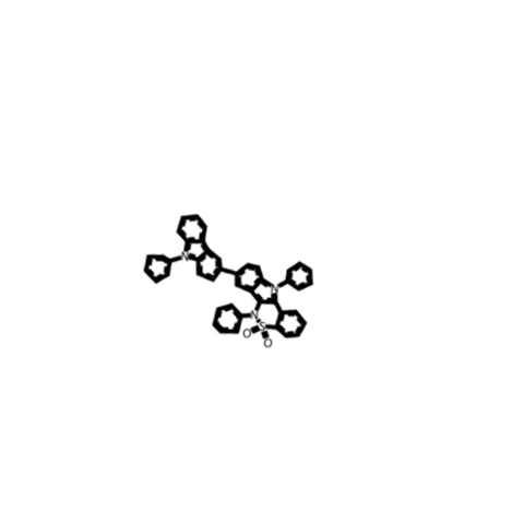 O=S1(=O)c2ccccc2-c2c(c3cc(-c4ccc5c(c4)c4ccccc4n5-c4ccccc4)ccc3n2-c2ccccc2)N1c1ccccc1